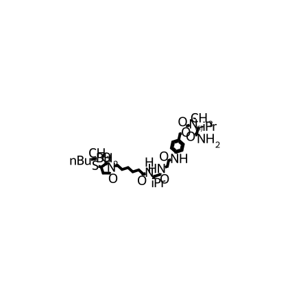 BC(C)(CCCC)SC1CC(=O)N(CCCCCC(=O)NC(C(=O)NCC(=O)Nc2ccc(COC(=O)N(C)[C@H](C(N)=O)C(C)C)cc2)C(C)C)C1=O